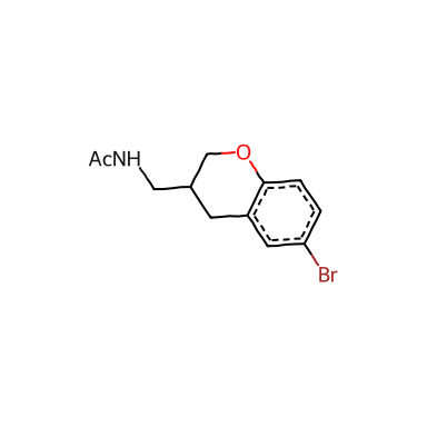 CC(=O)NCC1COc2ccc(Br)cc2C1